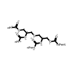 CCCCCC(=O)OCC(COCC(COC(=O)CCC)OC(=O)CCC)OC(=O)CCCCC